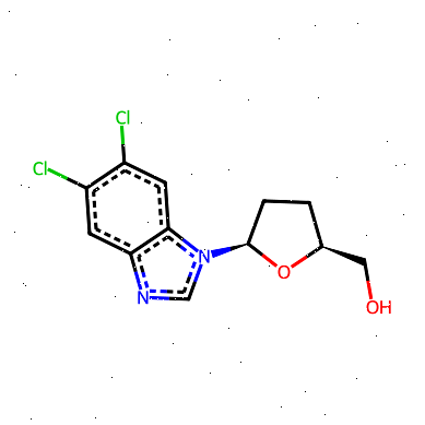 OC[C@@H]1CC[C@H](n2cnc3cc(Cl)c(Cl)cc32)O1